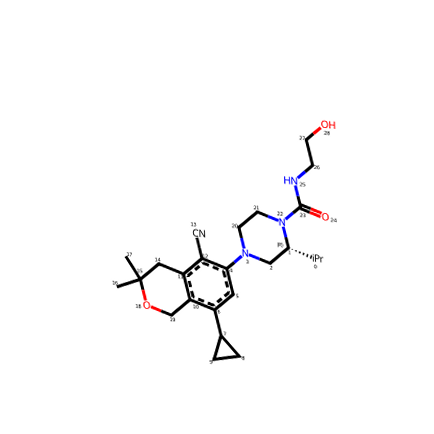 CC(C)[C@@H]1CN(c2cc(C3CC3)c3c(c2C#N)CC(C)(C)OC3)CCN1C(=O)NCCO